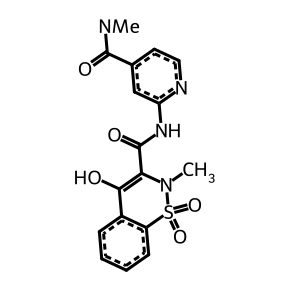 CNC(=O)c1ccnc(NC(=O)C2=C(O)c3ccccc3S(=O)(=O)N2C)c1